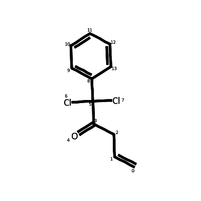 C=CCC(=O)C(Cl)(Cl)c1ccccc1